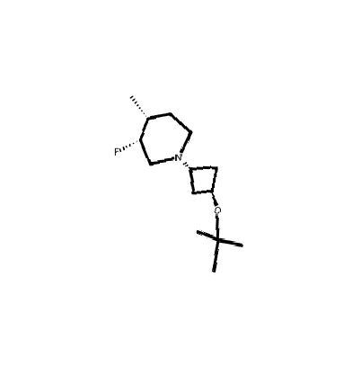 C[C@@H]1CCN([C@H]2C[C@H](OC(C)(C)C)C2)C[C@@H]1F